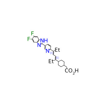 CC/C(=C\C=C(/CC)C1CCC(CC(=O)O)CC1)c1ccc(-c2nc3cc(F)c(F)cc3[nH]2)cn1